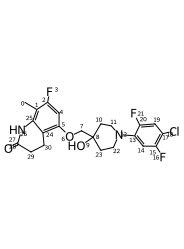 Cc1c(F)cc(OCC2(O)CCN(c3cc(F)c(Cl)cc3F)CC2)c2c1NC(=O)CC2